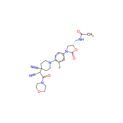 CC(=O)NC[C@H]1CN(c2ccc(N3CCC(C#N)(C(C#N)C(=O)N4CCOCC4)CC3)c(F)c2)C(=O)O1